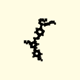 CC#CC(CC(=O)O)c1ccc(OCc2sc(-c3ccc(C(F)(F)F)cc3)nc2C)cc1